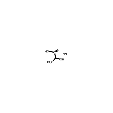 O=C(O)C(O)S(=O)O.[NaH]